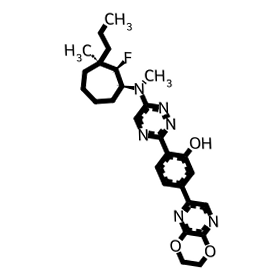 CCC[C@]1(C)CCCC[C@H](N(C)c2cnc(-c3ccc(-c4cnc5c(n4)OCCO5)cc3O)nn2)[C@@H]1F